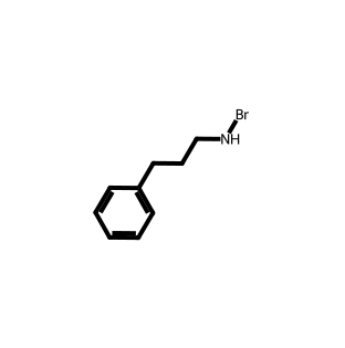 BrNCCCc1ccccc1